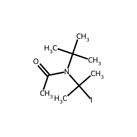 CC(=O)N(C(C)(C)C)C(C)(C)I